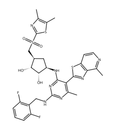 Cc1nc(S(=O)(=O)C[C@H]2C[C@@H](Nc3nc(NCc4c(F)cccc4F)nc(C)c3-c3nc4c(C)nccc4s3)[C@H](O)[C@@H]2O)sc1C